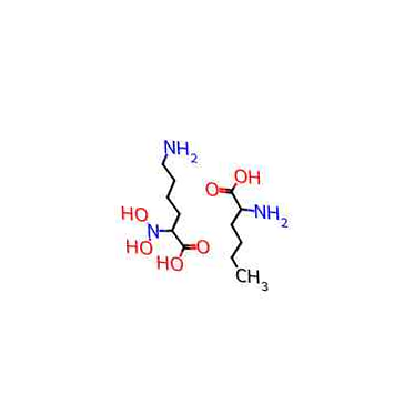 CCCCC(N)C(=O)O.NCCCCC(C(=O)O)N(O)O